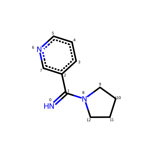 N=C(c1cccnc1)N1C[CH]CC1